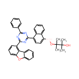 CC(C)(O)C(C)(C)OBc1ccc(-c2nc(-c3ccccc3)nc(-c3cccc4oc5ccccc5c34)n2)c2ccccc12